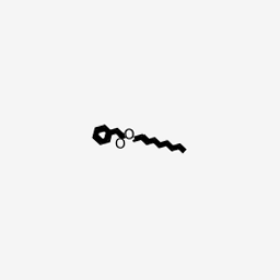 CCCCCCC=CCOC(=O)Cc1ccccc1